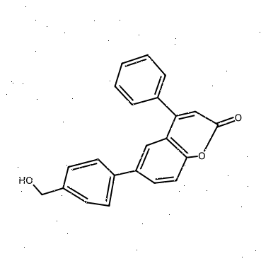 O=c1cc(-c2ccccc2)c2cc(-c3ccc(CO)cc3)ccc2o1